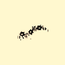 Nc1ccccc1N(N)CNc1ccc(-c2ncn(-c3ccc(OC(F)(F)F)cc3)n2)cc1